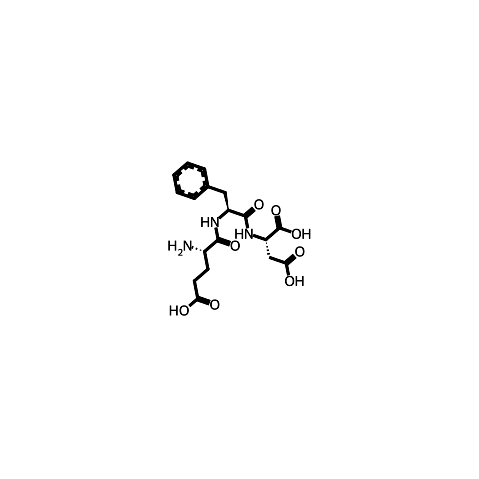 N[C@@H](CCC(=O)O)C(=O)N[C@@H](Cc1ccccc1)C(=O)N[C@@H](CC(=O)O)C(=O)O